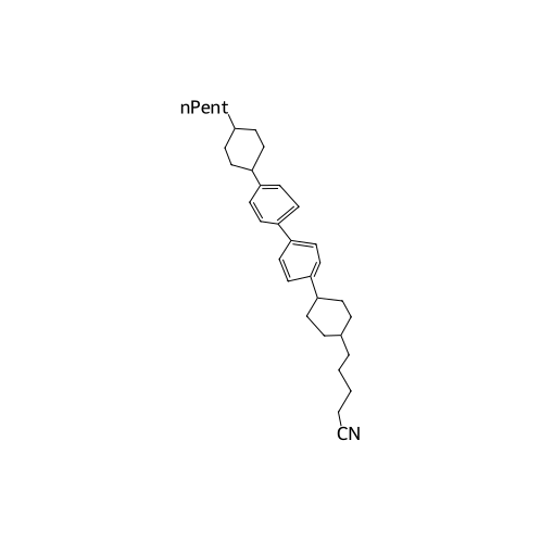 CCCCCC1CCC(c2ccc(-c3ccc(C4CCC(CCCCC#N)CC4)cc3)cc2)CC1